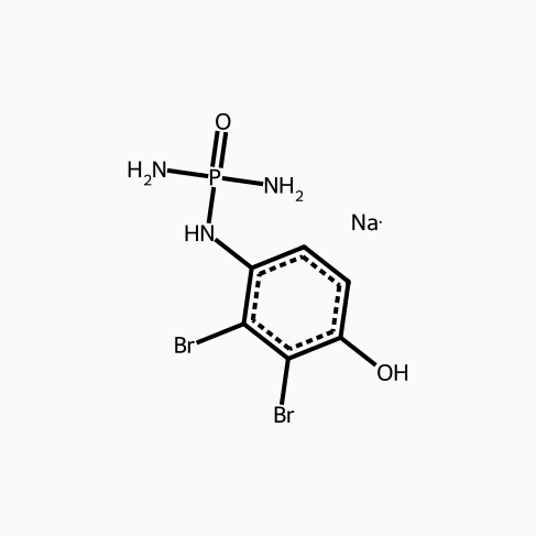 NP(N)(=O)Nc1ccc(O)c(Br)c1Br.[Na]